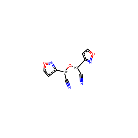 N#C[SiH](O[SiH](C#N)c1ccon1)c1ccon1